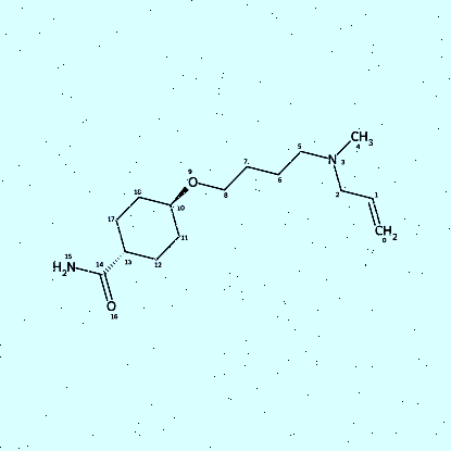 C=CCN(C)CCCCO[C@H]1CC[C@H](C(N)=O)CC1